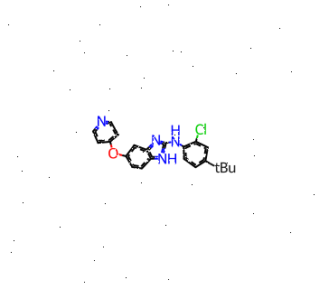 CC(C)(C)c1ccc(Nc2nc3cc(Oc4ccncc4)ccc3[nH]2)c(Cl)c1